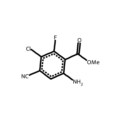 COC(=O)c1c(N)cc(C#N)c(Cl)c1F